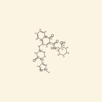 Cn1cc(N2CCN(Cc3cc(C(=O)N[C@H]4CCCC[C@@H]4O)c(=O)n4ccccc34)CC2=O)cn1